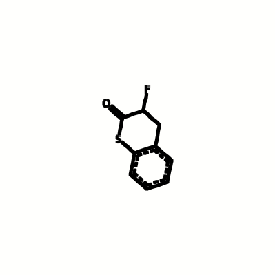 O=C1Sc2ccccc2CC1F